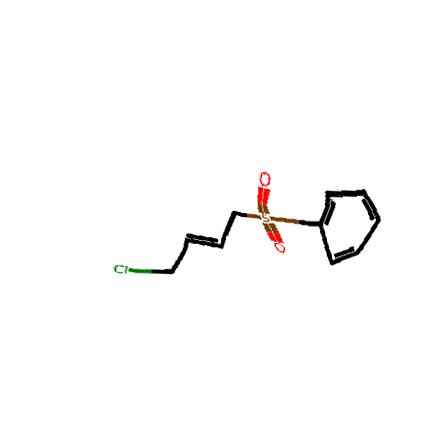 O=S(=O)(C/C=C/CCl)c1ccccc1